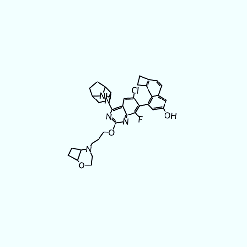 Oc1cc(-c2c(Cl)cc3c(N4CC5CCC(C4)N5)nc(OCCCN4CCOC5CCC54)nc3c2F)c2c3c(ccc2c1)CC3